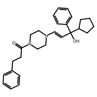 O=C(CCc1ccccc1)N1CCN(C=CC(O)(c2ccccc2)C2CCCC2)CC1